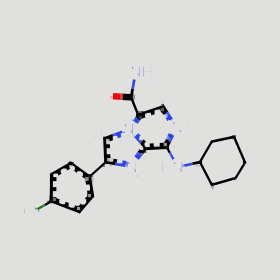 NC(=O)c1cnc(NC2CCCCC2)c2nc(-c3ccc(Cl)cc3)cn12